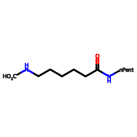 CCCCCNC(=O)CCCCCNC(=O)O